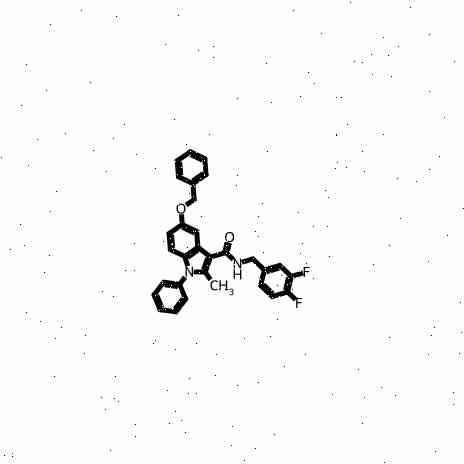 Cc1c(C(=O)NCc2ccc(F)c(F)c2)c2cc(OCc3ccccc3)ccc2n1-c1ccccc1